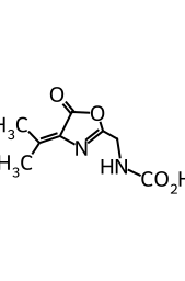 CC(C)=C1N=C(CNC(=O)O)OC1=O